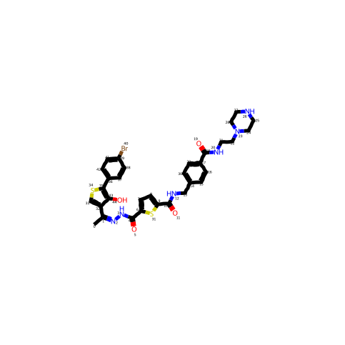 CC(=NNC(=O)c1ccc(C(=O)NCc2ccc(C(=O)NCCN3CCNCC3)cc2)s1)c1csc(-c2ccc(Br)cc2)c1O